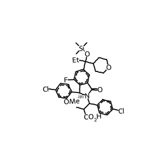 CCC(O[Si](C)(C)C)(c1cc(F)c2c(c1)C(=O)N(C(c1ccc(Cl)cc1)C(C)C(=O)O)[C@@]2(OC)c1ccc(Cl)cc1)C1CCOCC1